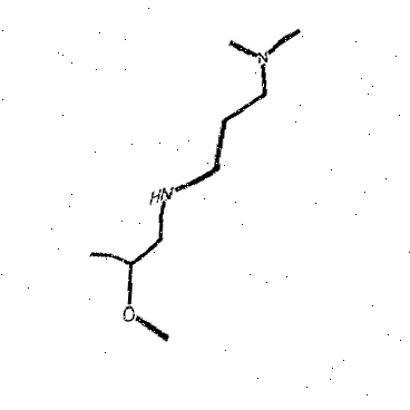 COC(C)CNCCCN(C)C